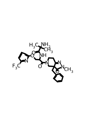 CN1N=C2CCN(C(=O)C(COc3cccc(C(F)(F)F)n3)NC(=O)C(C)(C)N)CC2(Cc2ccccc2)C1=O